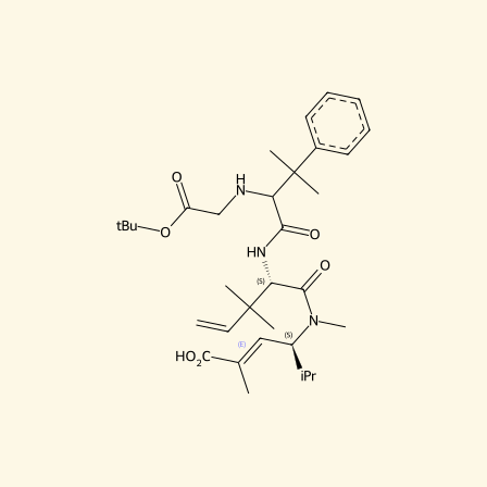 C=CC(C)(C)[C@H](NC(=O)C(NCC(=O)OC(C)(C)C)C(C)(C)c1ccccc1)C(=O)N(C)[C@H](/C=C(\C)C(=O)O)C(C)C